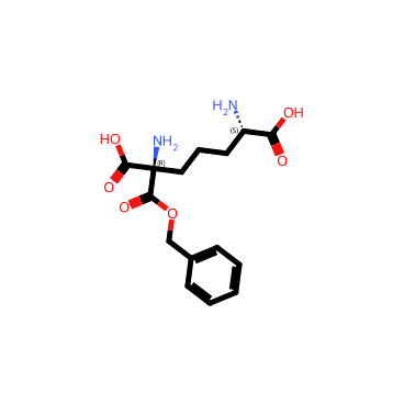 N[C@@H](CCC[C@@](N)(C(=O)O)C(=O)OCc1ccccc1)C(=O)O